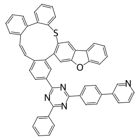 C1=C\c2ccc(-c3nc(-c4ccccc4)nc(-c4ccc(-c5cccnc5)cc4)n3)cc2-c2cc3oc4ccccc4c3cc2Sc2ccccc2-c2ccccc2/1